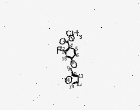 COC(=O)c1ccc(OCc2ccco2)cc1F